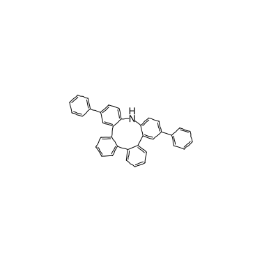 c1ccc(-c2ccc3[nH]c4ccc(-c5ccccc5)cc4c4ccccc4c4ccccc4c3c2)cc1